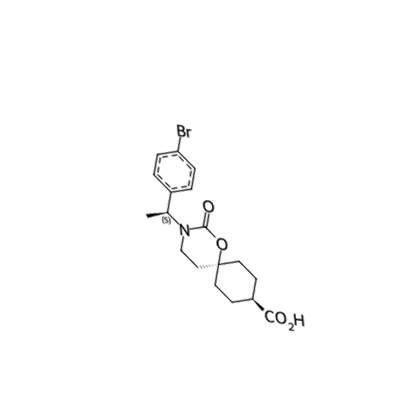 C[C@@H](c1ccc(Br)cc1)N1CC[C@]2(CC[C@H](C(=O)O)CC2)OC1=O